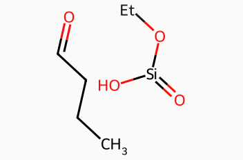 CCCC=O.CCO[Si](=O)O